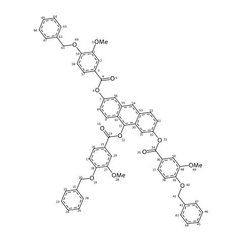 COc1cc(C(=O)Oc2ccc3c(OC(=O)c4ccc(OCc5ccccc5)c(OC)c4)c4cc(OC(=O)c5ccc(OCc6ccccc6)c(OC)c5)ccc4cc3c2)ccc1OCc1ccccc1